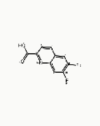 O=C(O)c1ccc2cc(F)c(F)cc2n1